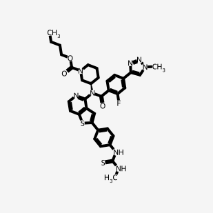 CCCCOC(=O)N1CCC[C@@H](N(C(=O)c2ccc(-c3cn(C)nn3)cc2F)c2nccc3sc(-c4ccc(NC(=S)NC)cc4)cc23)C1